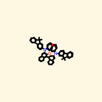 CC1(C)c2ccccc2-c2ccc(N(c3ccccc3)c3cc4ccccc4c4c3oc3c(N(c5ccccc5)c5ccc6c(c5)C(C)(C)c5ccccc5-6)cc5ccccc5c34)cc21